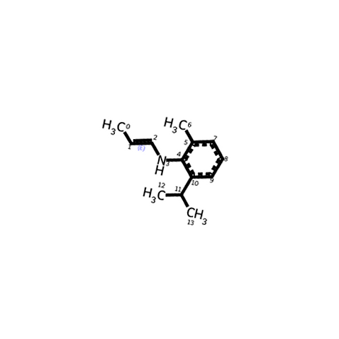 C/C=C/Nc1c(C)cccc1C(C)C